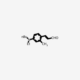 CCCCN(CC)c1ccc(C=CC=O)c(C)c1